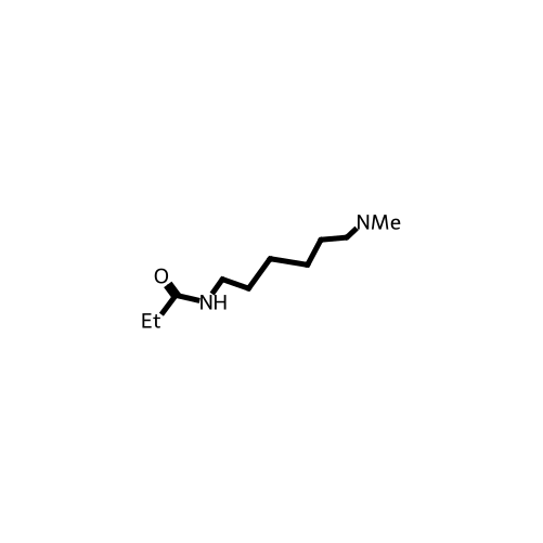 CCC(=O)NCCCCCCNC